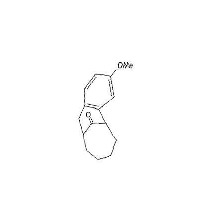 COc1ccc2c(c1)C1CCCCC(C2)C1=O